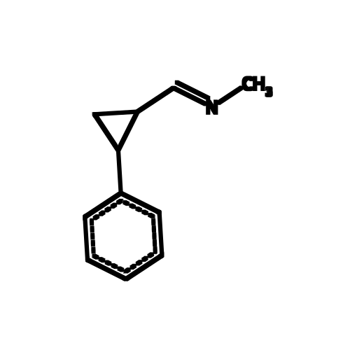 CN=CC1CC1c1ccccc1